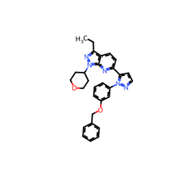 CCc1nn(C2CCOCC2)c2nc(-c3ccnn3-c3cccc(OCc4ccccc4)c3)ccc12